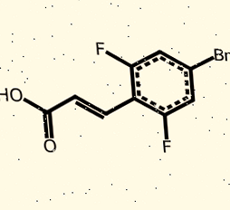 O=C(O)/C=C/c1c(F)cc(Br)cc1F